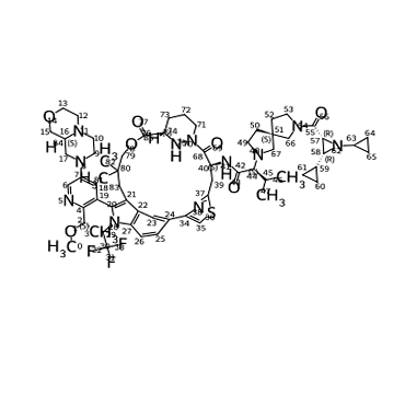 CO[C@@H](C)c1ncc(N2CCN3CCOC[C@@H]3C2)cc1-c1c2c3cc(ccc3n1CC(F)(F)F)-c1csc(n1)C[C@H](NC(=O)[C@H](C(C)C)N1CC[C@]3(CCN(C(=O)[C@H]4[C@@H](C5CC5)N4C4CC4)C3)C1)C(=O)N1CCC[C@H](N1)C(=O)OCC(C)(C)C2